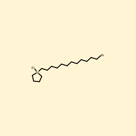 CC[N+]1(CCCCCCCCCCCCC(C)C)CCCC1